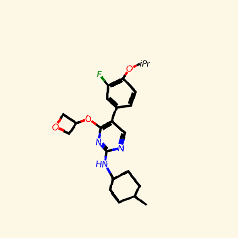 CC1CCC(Nc2ncc(-c3ccc(OC(C)C)c(F)c3)c(OC3COC3)n2)CC1